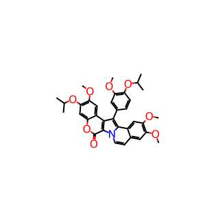 COc1cc2ccn3c(c(-c4ccc(OC(C)C)c(OC)c4)c4c5cc(OC)c(OC(C)C)cc5oc(=O)c43)c2cc1OC